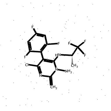 C=C1N=C(Cl)C(c2c(F)cc(F)cc2F)=C(N[C@@H](C)C(F)(F)F)N1N